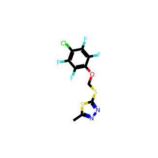 Cc1nnc(SCOc2c(F)c(F)c(Cl)c(F)c2F)s1